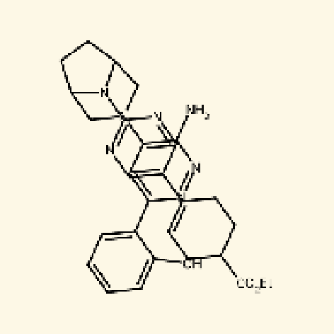 CCOC(=O)C1CC=C(c2cnc(N3C4CCC3CN(c3cc(-c5ccccc5O)nnc3N)C4)nc2)CC1